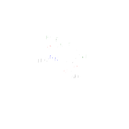 CCCC(=O)Oc1cc(-c2nn(C)c(OC(F)F)c2Cl)c(F)cc1Cl